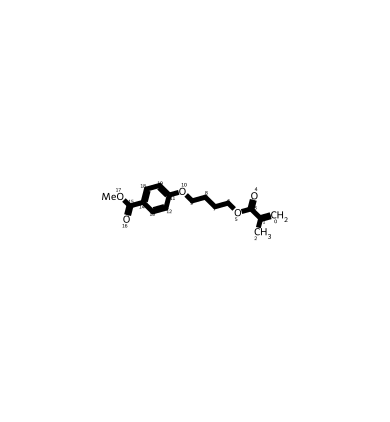 C=C(C)C(=O)OCCCCOc1ccc(C(=O)OC)cc1